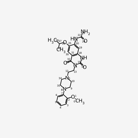 COc1ccccc1N1CCN(CCn2c(=O)[nH]c3cc(NC(N)=O)c(OC(C)C)cc3c2=O)CC1